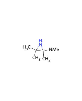 CNC1(C)NC1(C)C